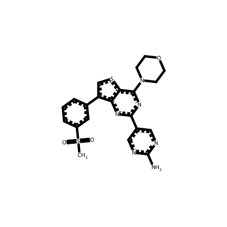 CS(=O)(=O)c1cccc(-c2csc3c(N4CCOCC4)nc(-c4cnc(N)nc4)nc23)c1